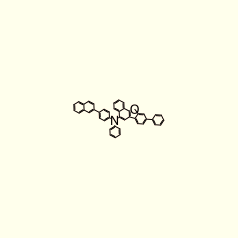 c1ccc(-c2ccc3c(c2)oc2c4ccccc4c(N(c4ccccc4)c4ccc(-c5ccc6ccccc6c5)cc4)cc32)cc1